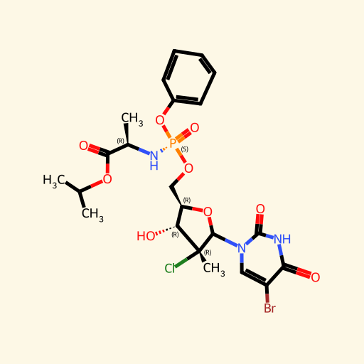 CC(C)OC(=O)[C@@H](C)N[P@](=O)(OC[C@H]1OC(n2cc(Br)c(=O)[nH]c2=O)[C@](C)(Cl)[C@@H]1O)Oc1ccccc1